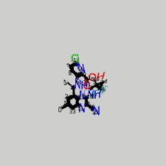 Cc1cc([C@@H](C)Nc2ccc(Cl)nc2C(=O)O)c2nc(NC[C@]3(C)CC3(F)F)c(C#N)nc2c1